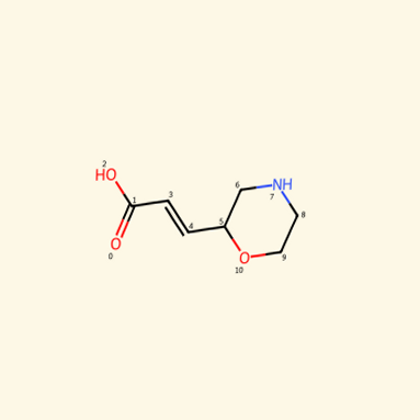 O=C(O)C=CC1CNCCO1